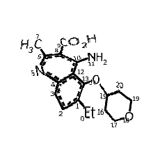 CCc1ccc2nc(C)c(C(=O)O)c(N)c2c1OC1CCOCC1